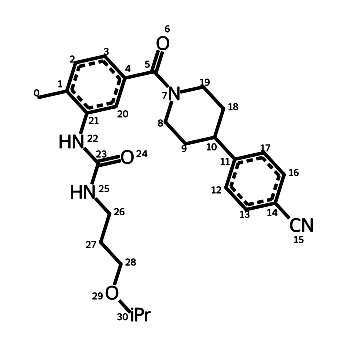 Cc1ccc(C(=O)N2CCC(c3ccc(C#N)cc3)CC2)cc1NC(=O)NCCCOC(C)C